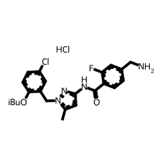 Cc1cc(NC(=O)c2ccc(CN)cc2F)nn1Cc1cc(Cl)ccc1OCC(C)C.Cl